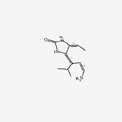 C/C=c1/[nH]c(=O)[nH]/c1=C(/C=C\N)C(C)C